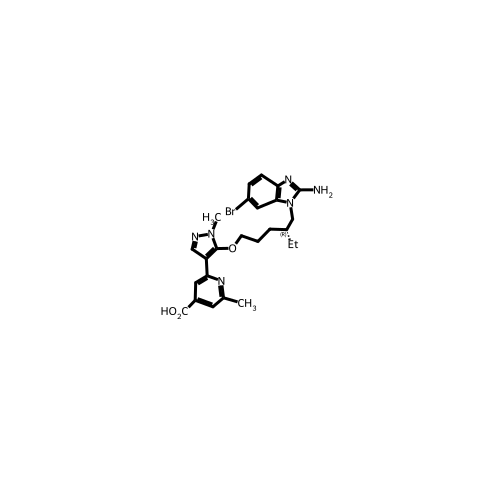 CC[C@H](CCCOc1c(-c2cc(C(=O)O)cc(C)n2)cnn1C)Cn1c(N)nc2ccc(Br)cc21